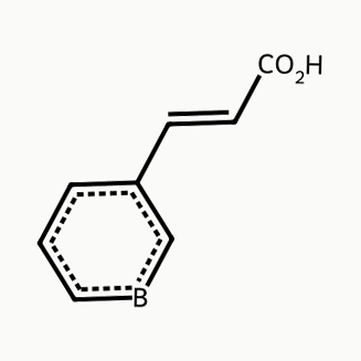 O=C(O)C=Cc1cbccc1